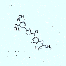 COc1ccc(C2=NN(C(=O)c3cccc(OC(C)C)c3)CC2)cc1OC